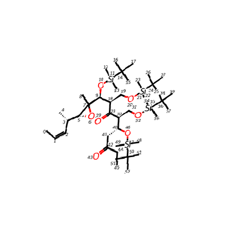 C/C=C\[C@H](C)[C@H]1OC1(C)[C@@H](O[Si](C)(C)C(C)(C)C)[C@@H](CO[Si](C)(C)C(C)(C)C)C(=O)[C@@H](CO[Si](C)(C)C(C)(C)C)[C@@H](CC(=O)CC)O[Si](C)(C)C(C)(C)C